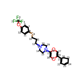 FC(F)(F)Oc1ccc(SCCCN2CCN(C3=COC(C4=CC=CCC4)=CO3)CC2)cc1